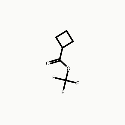 O=C(OC(F)(F)F)C1CCC1